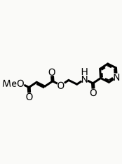 COC(=O)/C=C/C(=O)OCCNC(=O)c1cccnc1